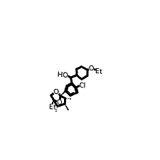 CCOC1CCC(C(O)c2cc([C@]34OC[C@](CC)(O3)[C@@H](C)[C@H](C)[C@H]4C)ccc2Cl)CC1